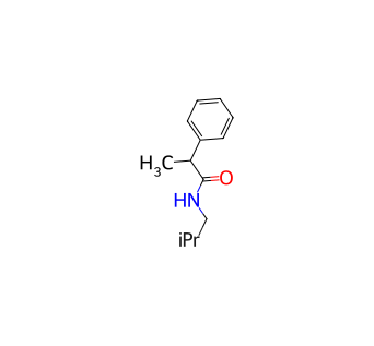 CC(C)CNC(=O)C(C)c1ccccc1